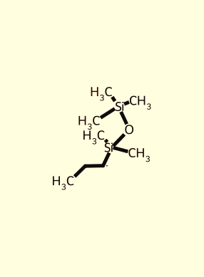 CC[CH][Si](C)(C)O[Si](C)(C)C